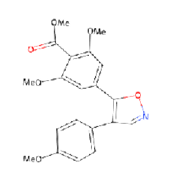 COC(=O)c1c(OC)cc(-c2oncc2-c2ccc(OC)cc2)cc1OC